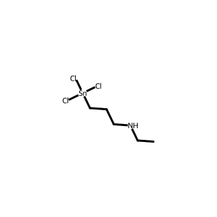 CCNCC[CH2][Sn]([Cl])([Cl])[Cl]